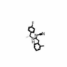 Cc1ccccc1C/C(=N\C#N)N[C@H](C)c1ccc(F)cc1